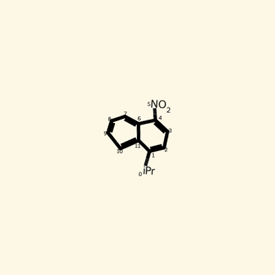 CC(C)c1ccc([N+](=O)[O-])c2ccccc12